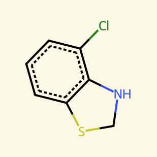 Clc1cccc2c1NCS2